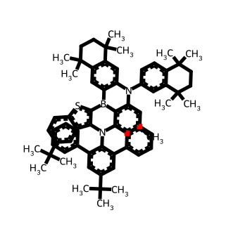 Cc1cc2c3c(c1)N(c1c(-c4ccccc4)cc(C(C)(C)C)cc1-c1ccccc1)c1c(sc4ccc(C(C)(C)C)cc14)B3c1cc3c(cc1N2c1ccc2c(c1)C(C)(C)CCC2(C)C)C(C)(C)CCC3(C)C